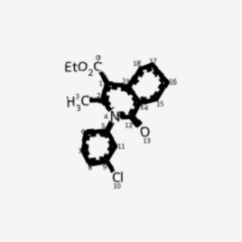 CCOC(=O)c1c(C)n(-c2cccc(Cl)c2)c(=O)c2ccccc12